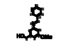 COc1cc(CO)cc(N=Cc2cccnc2)c1